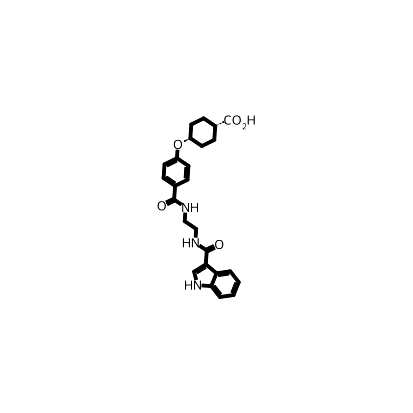 O=C(NCCNC(=O)c1c[nH]c2ccccc12)c1ccc(O[C@H]2CC[C@@H](C(=O)O)CC2)cc1